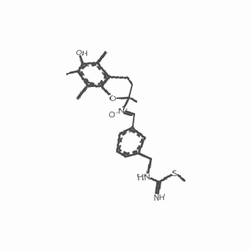 CSC(=N)NCc1cccc(/C=[N+](\[O-])C2(C)CCc3c(C)c(O)c(C)c(C)c3O2)c1